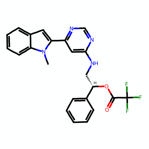 Cn1c(-c2cc(NC[C@H](OC(=O)C(F)(F)F)c3ccccc3)ncn2)cc2ccccc21